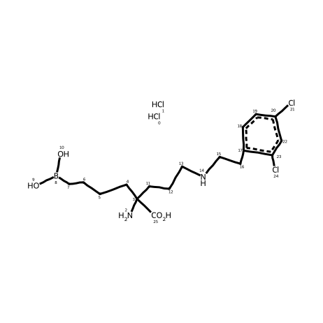 Cl.Cl.NC(CCCCB(O)O)(CCCNCCc1ccc(Cl)cc1Cl)C(=O)O